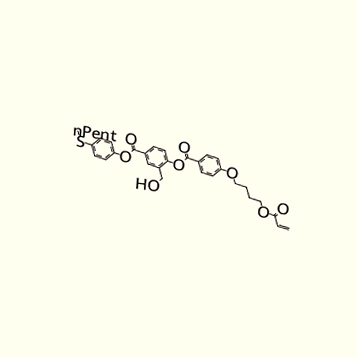 C=CC(=O)OCCCCOc1ccc(C(=O)Oc2ccc(C(=O)Oc3ccc(SCCCCC)cc3)cc2CO)cc1